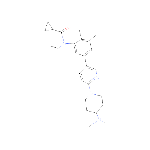 CCN(C(=O)C1CC1)c1cc(-c2ccc(N3CCC(N(C)C)CC3)nc2)cc(C)c1C